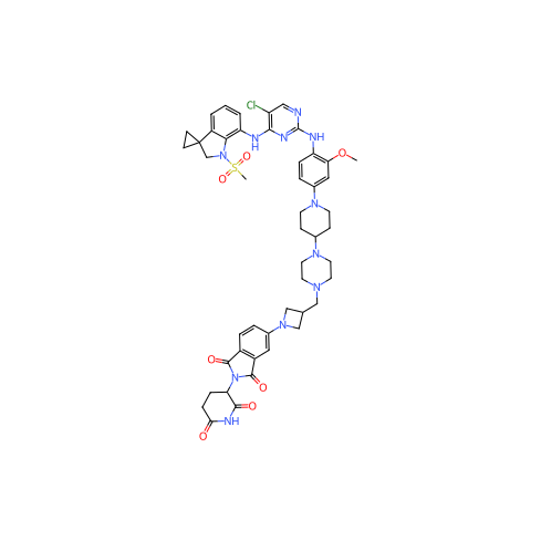 COc1cc(N2CCC(N3CCN(CC4CN(c5ccc6c(c5)C(=O)N(C5CCC(=O)NC5=O)C6=O)C4)CC3)CC2)ccc1Nc1ncc(Cl)c(Nc2cccc3c2N(S(C)(=O)=O)CC32CC2)n1